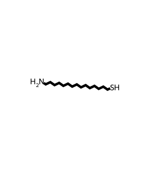 NCCCCCCCCCCCCCCCS